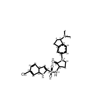 CN(C)C1CCc2cc(N3CCC(NS(=O)(=O)C4=CC5C=CC(Cl)=CC5S4)C3=O)ccc21